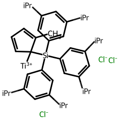 CC1=CC=C[C]1([Ti+3])[Si](c1cc(C(C)C)cc(C(C)C)c1)(c1cc(C(C)C)cc(C(C)C)c1)c1cc(C(C)C)cc(C(C)C)c1.[Cl-].[Cl-].[Cl-]